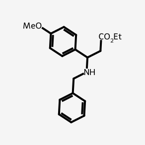 CCOC(=O)CC(NCc1ccccc1)c1ccc(OC)cc1